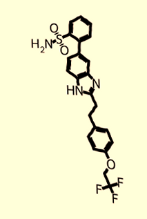 NS(=O)(=O)c1ccccc1-c1ccc2[nH]c(CCc3ccc(OCC(F)(F)F)cc3)nc2c1